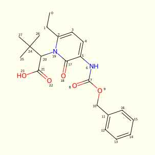 CCc1ccc(NC(=O)OCc2ccccc2)c(=O)n1C(C(=O)O)C(C)(C)C